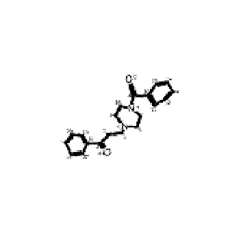 O=C(CCN1CCN(C(=O)c2ccccc2)CC1)c1ccccc1